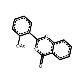 CC(=O)Oc1ccccc1-c1nc(=O)c2ccccc2o1